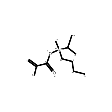 C=C(C)C(=O)O[N+](C)(CCCC)C(C)C